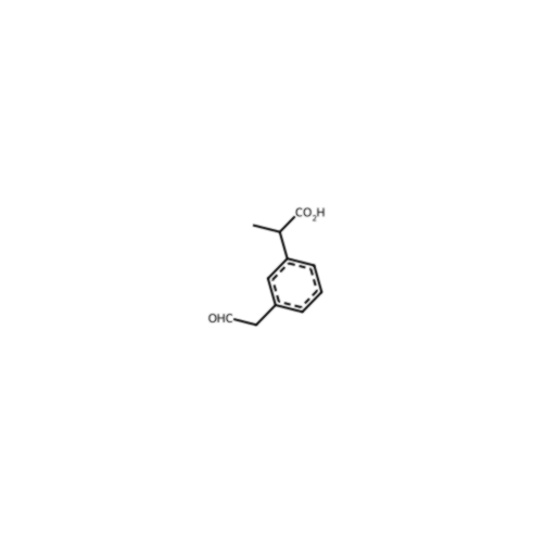 CC(C(=O)O)c1cccc(CC=O)c1